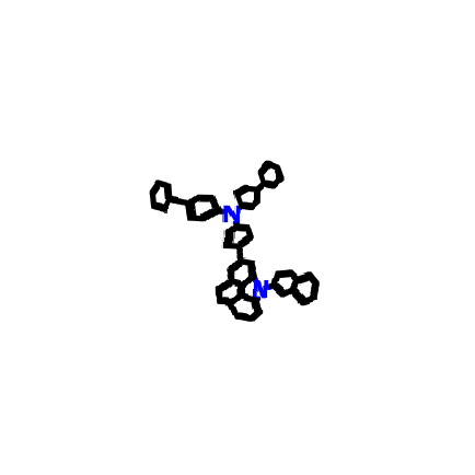 c1ccc(-c2ccc(N(c3ccc(-c4ccccc4)cc3)c3ccc(-c4cc5ccc6cccc7c6c5c(c4)n7-c4ccc5ccccc5c4)cc3)cc2)cc1